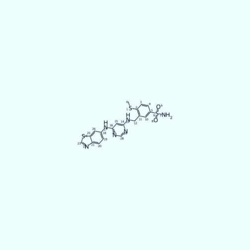 CSc1ccc(S(N)(=O)=O)cc1CNc1cc(Nc2ccc3ncsc3c2)ncn1